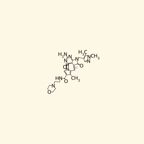 Cc1c(C(=O)NCCN2CCOCC2)c[nH]c1/C=C1/C(=O)N(Cc2cnn(C)c2C)c2nc(N)nc(Cl)c21